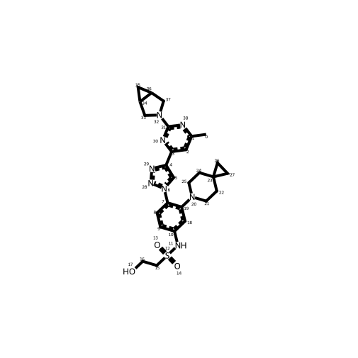 Cc1cc(-c2cn(-c3ccc(NS(=O)(=O)CCO)cc3N3CCC4(CC3)CC4)nn2)nc(N2CC3CC3C2)n1